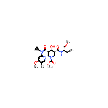 CCOC[C@@H](CC(C)C)NC(=O)[C@@H]1CN(C(=O)OC(C)(C)C)C[C@H](C(=O)N(c2cc(OCC)c(CC)cn2)C2CC2)[C@@H]1O